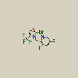 Fc1cnc(CN2C(C(F)(F)F)=CSC2Br)c(F)c1